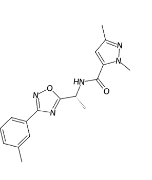 Cc1cccc(-c2noc([C@@H](C)NC(=O)c3cc(C)nn3C)n2)c1